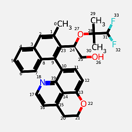 Cc1cc2ccccc2c(-c2ccc3c4c(ccnc24)CCO3)c1[C@H](CO)OC(C)(C)C(F)F